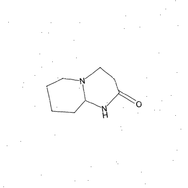 O=C1CCN2CCCCC2N1